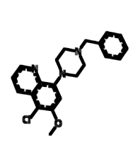 COc1cc(N2CCN(Cc3ccccc3)CC2)c2ncccc2c1Cl